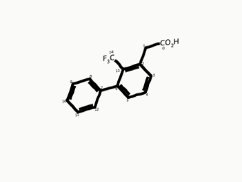 O=C(O)Cc1cccc(-c2ccccc2)c1C(F)(F)F